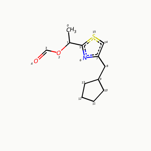 CC(OC=O)c1nc(CC2CCCC2)cs1